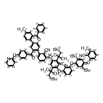 Cc1ccc(-c2ccc(-c3cccc(Oc4cc(C(C)(C)CC(C)(C)C)c(Oc5cccc(Oc6cc(C(C)(C)C)c(Oc7cccc(C)c7C#N)cc6C(C)(C)C)c5C#N)cc4C(C)(C)CC(C)(C)C)c3C#N)c(C(=O)c3ccc(Oc4ccccn4)cc3)c2)c(C(=O)c2ccccc2)c1